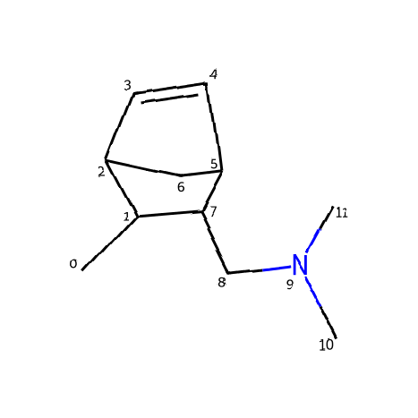 CC1C2C=CC(C2)C1CN(C)C